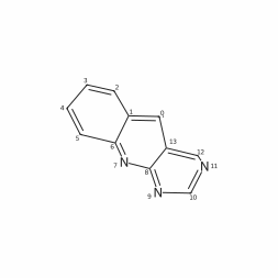 [c]1c2ccccc2nc2ncncc12